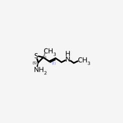 CCNC/C=C/[C@]1(C)S[C@@H]1N